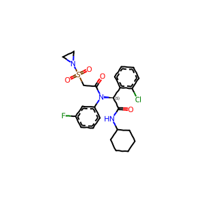 O=C(NC1CCCCC1)[C@H](c1ccccc1Cl)N(C(=O)CS(=O)(=O)N1CC1)c1cccc(F)c1